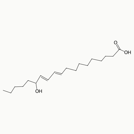 CCCCCC(O)/C=C/C=C/CCCCCCCCC(=O)O